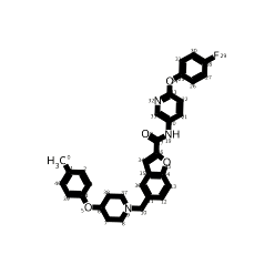 Cc1ccc(OC2CCN(Cc3ccc4oc(C(=O)Nc5ccc(Oc6ccc(F)cc6)nc5)cc4c3)CC2)cc1